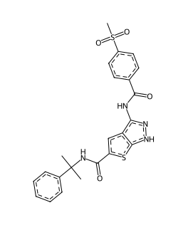 CC(C)(NC(=O)c1cc2c(NC(=O)c3ccc(S(C)(=O)=O)cc3)n[nH]c2s1)c1ccccc1